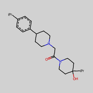 CC(C)c1ccc(C2CCN(CC(=O)N3CCC(O)(C(C)C)CC3)CC2)cc1